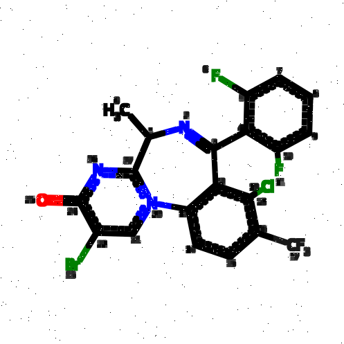 CC1N=C(c2c(F)cccc2F)c2c(ccc(C(F)(F)F)c2Cl)-n2cc(Br)c(=O)nc21